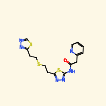 O=C(Cc1ccccn1)Nc1nnc(CCSCCc2nncs2)s1